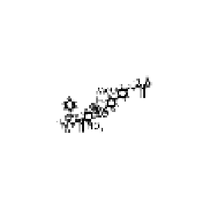 COc1cc(CCC(=O)NC2CC2)ccc1-c1ccc(C(=O)NS(=O)(=O)c2ccc(N[C@@H](CSc3ccccc3)CC(=O)N(C)C)c([N+](=O)[O-])c2)cc1